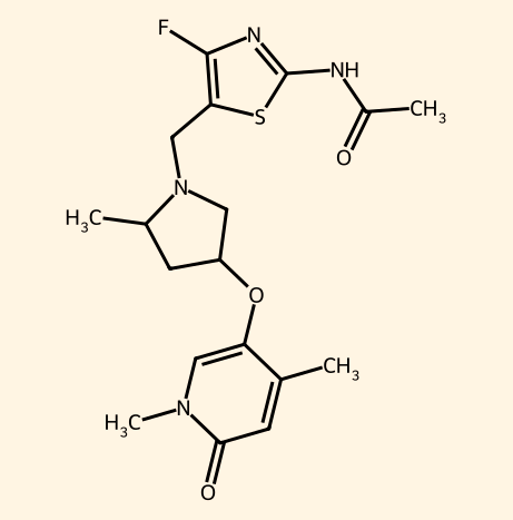 CC(=O)Nc1nc(F)c(CN2CC(Oc3cn(C)c(=O)cc3C)CC2C)s1